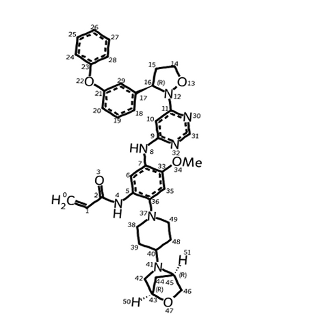 C=CC(=O)Nc1cc(Nc2cc(N3OCC[C@@H]3c3cccc(Oc4ccccc4)c3)ncn2)c(OC)cc1N1CCC(N2C[C@H]3C[C@@H]2CO3)CC1